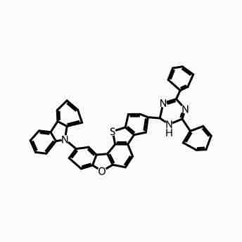 c1ccc(C2=NC(c3ccc4sc5c(ccc6oc7ccc(-n8c9ccccc9c9ccccc98)cc7c65)c4c3)NC(c3ccccc3)=N2)cc1